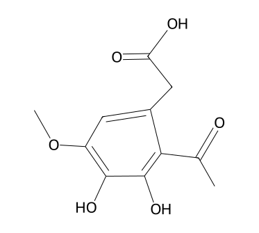 COc1cc(CC(=O)O)c(C(C)=O)c(O)c1O